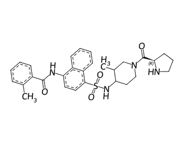 Cc1ccccc1C(=O)Nc1ccc(S(=O)(=O)NC2CCN(C(=O)[C@H]3CCCN3)CC2C)c2ccccc12